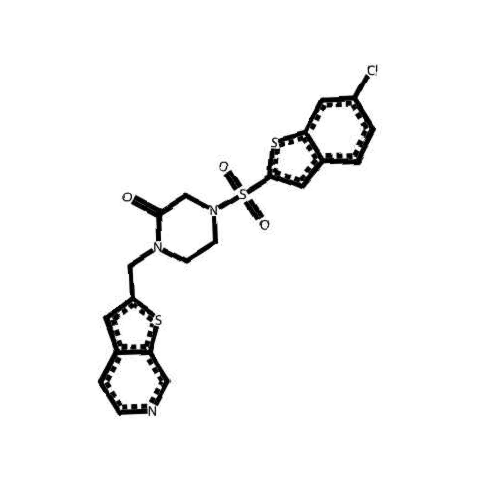 O=C1CN(S(=O)(=O)c2cc3ccc(Cl)cc3s2)CCN1Cc1cc2ccncc2s1